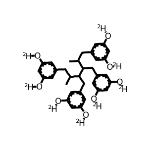 [2H]Oc1cc(CC(C)C(Cc2cc(O[2H])cc(O[2H])c2)C(Cc2cc(O[2H])cc(O[2H])c2)C(C)Cc2cc(O[2H])cc(O[2H])c2)cc(O[2H])c1